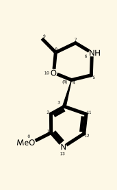 COc1cc([C@@H]2CNCC(C)O2)ccn1